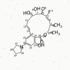 C[C@@H]1/C=C(/F)C(=O)[C@@H](O)[C@@H](O)C/C=C/c2cc(N3CCCC3)cc(O)c2C(=O)O[C@H]1C